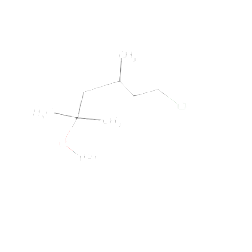 CC(CCCl)CC(C)(C)OC(C)(C)C